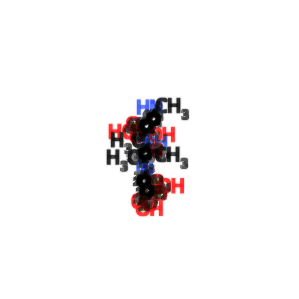 CNc1ccc2c(O)c(N(C)Nc3cc(C)c(N=Nc4ccc5cc(S(=O)(=O)O)cc(S(=O)(=O)O)c5c4)cc3OC)c(S(=O)(=O)O)cc2c1